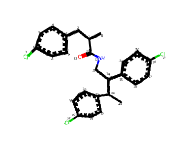 CC(Cc1ccc(Cl)cc1)C(=O)NCC(c1ccc(Cl)cc1)C(C)c1ccc(Cl)cc1